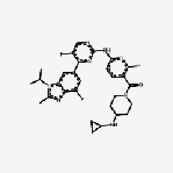 Cc1nc2c(F)cc(-c3nc(Nc4ccc(C(=O)N5CCC(NC6CC6)CC5)c(F)n4)ncc3F)cc2n1C(C)C